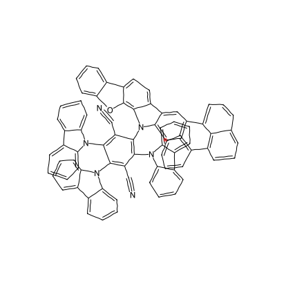 N#Cc1c(-n2c3ccccc3c3ccccc32)c(-n2c3ccccc3c3ccccc32)c(C#N)c(-n2c3ccc(-c4cccc5cccc(-c6ccccc6)c45)cc3c3ccc4c5ccccc5oc4c32)c1-n1c2ccccc2c2ccccc21